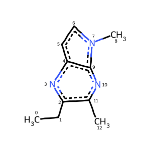 CCc1nc2ccn(C)c2nc1C